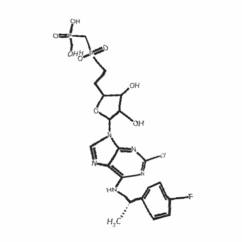 C[C@H](Nc1nc(Cl)nc2c1ncn2C1OC(CCP(=O)(O)CP(=O)(O)O)C(O)C1O)c1ccc(F)cc1